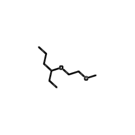 CCCC(CC)OCCOC